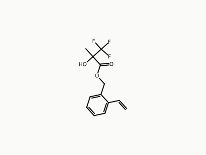 C=Cc1ccccc1COC(=O)C(C)(O)C(F)(F)F